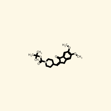 COc1cc2c(cc1OC)C(=O)/C(=C\C1CCN(C(=O)OC(C)(C)C)CC1)C2